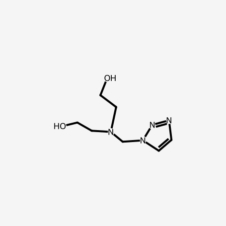 OCCN(CCO)Cn1ccnn1